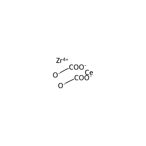 O=C([O-])[O-].O=C([O-])[O-].[Ce].[Zr+4]